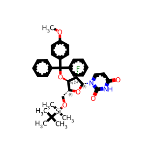 COc1ccc(C(O[C@H]2[C@H](F)[C@H](n3ccc(=O)[nH]c3=O)O[C@@H]2CO[Si](C)(C)C(C)(C)C)(c2ccccc2)c2ccccc2)cc1